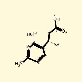 C[C@@H](CC(=O)O)c1ccc(N)nc1.Cl